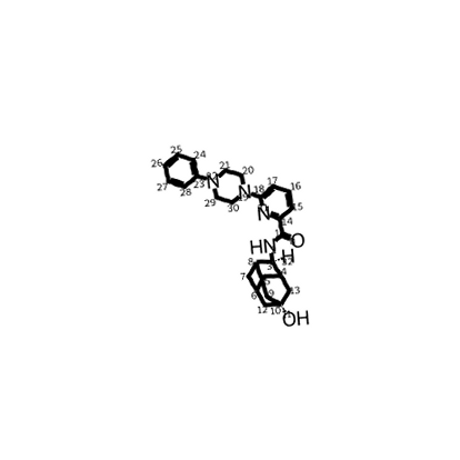 O=C(N[C@H]1C2CC3CC1C[C@](O)(C3)C2)c1cccc(N2CCN(c3ccccc3)CC2)n1